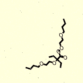 CCCCOCCOOC(=O)C(CC)(CC)OCCOCCCC